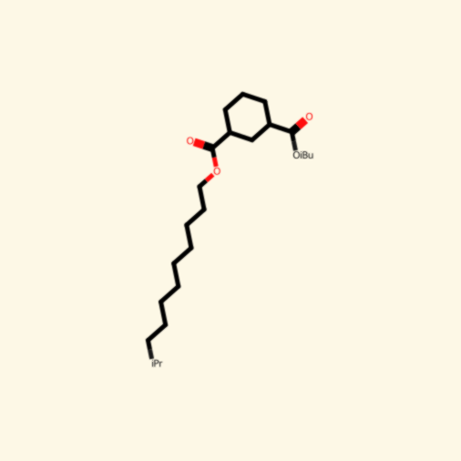 CC(C)CCCCCCCCCOC(=O)C1CCCC(C(=O)OCC(C)C)C1